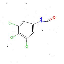 O=CNc1cc(Cl)c(Cl)c(Cl)c1